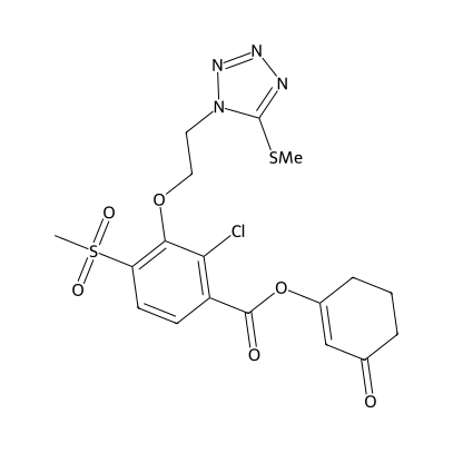 CSc1nnnn1CCOc1c(S(C)(=O)=O)ccc(C(=O)OC2=CC(=O)CCC2)c1Cl